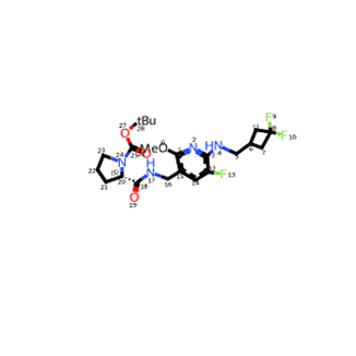 COc1nc(NCC2CC(F)(F)C2)c(F)cc1CNC(=O)[C@@H]1CCCN1C(=O)OC(C)(C)C